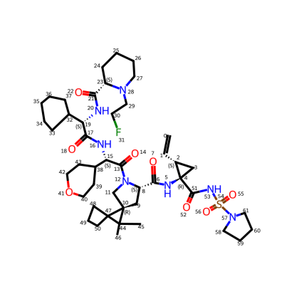 C=C[C@@H]1C[C@]1(NC(=O)[C@@H]1C[C@@]2(CN1C(=O)[C@@H](NC(=O)[C@@H](NC(=O)[C@@H]1CCCCN1CCF)C1CCCCC1)C1CCOCC1)C(C)(C)C21CCC1)C(=O)NS(=O)(=O)N1CCCC1